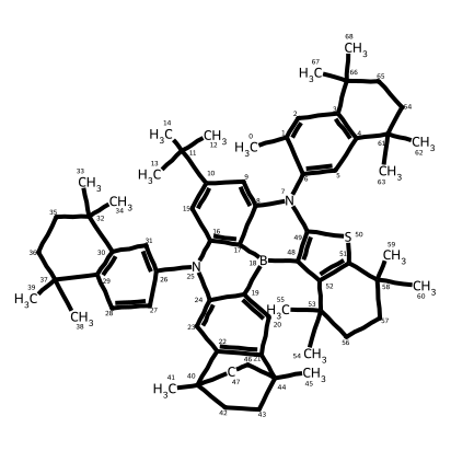 Cc1cc2c(cc1N1c3cc(C(C)(C)C)cc4c3B(c3cc5c(cc3N4c3ccc4c(c3)C(C)(C)CCC4(C)C)C3(C)CCC5(C)CC3)c3c1sc1c3C(C)(C)CCC1(C)C)C(C)(C)CCC2(C)C